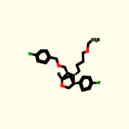 O=C(O)COCCCC[C@H]1[C@H](COCc2ccc(F)cc2)[C@@H]2C[C@@]1(c1ccc(F)cc1)CO2